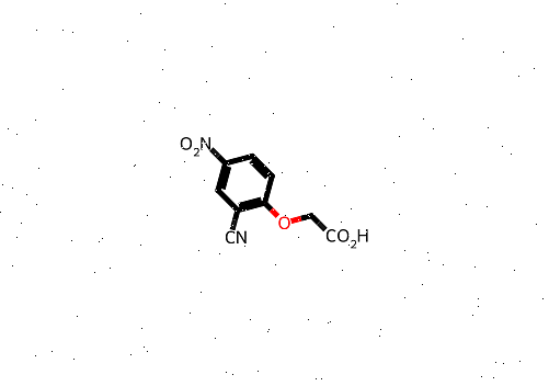 N#Cc1cc([N+](=O)[O-])ccc1OCC(=O)O